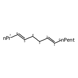 [CH2]CCCCC=CCCC=CCCC